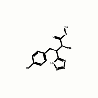 CCC(C)[C@H](C(=O)OC(C)(C)C)[C@H](Cc1ccc(Br)cc1)c1nnn[nH]1